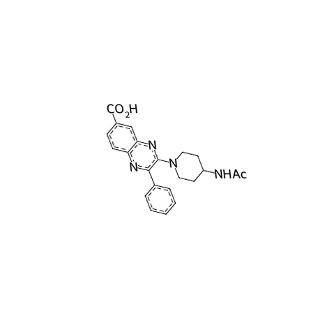 CC(=O)NC1CCN(c2nc3cc(C(=O)O)ccc3nc2-c2ccccc2)CC1